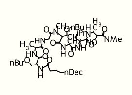 CCCCCCCCCCCCCC(=O)N[C@H](COCCCC)C(=O)N[C@H](C)C(=O)NCC(=O)N(C)[C@H](C(=O)N[C@@H](C)C(=O)N[C@@H](CC(C)C)C(=O)NC(C)C(O)C(=O)NC)C(C)OCCCC